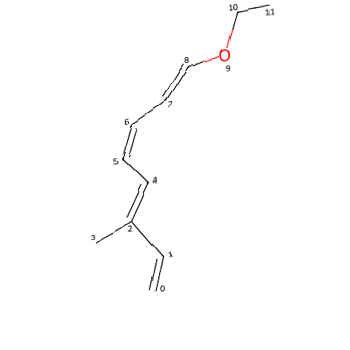 C=C/C(C)=C/C=C\C=C\OCC